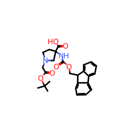 CC(C)(C)OC(=O)CN1CCC(NC(=O)OCC2c3ccccc3-c3ccccc32)(C(=O)O)C1